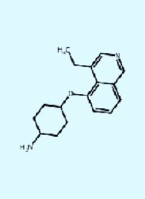 CCc1cncc2cccc(OC3CCC(N)CC3)c12